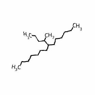 CCCCCCC[C](CCCCCC)C(C)CCC